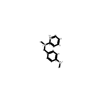 COc1ccc(CN(C)c2ccccn2)cc1